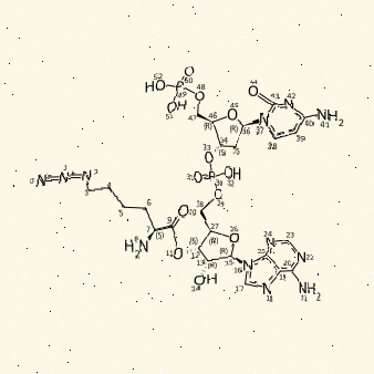 [N-]=[N+]=NCCCC[C@H](N)C(=O)O[C@H]1[C@@H](O)[C@H](n2cnc3c(N)ncnc32)O[C@@H]1COP(=O)(O)O[C@H]1C[C@H](n2ccc(N)nc2=O)O[C@@H]1COP(=O)(O)O